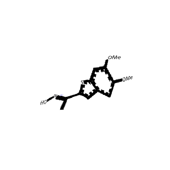 COc1cc2cc(/C(C)=N/O)sc2cc1OC